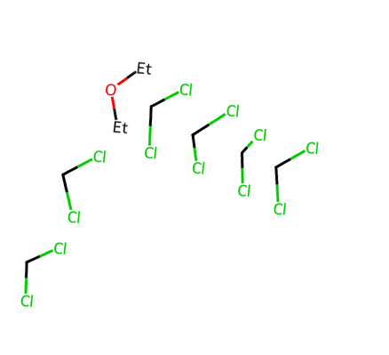 CCOCC.ClCCl.ClCCl.ClCCl.ClCCl.ClCCl.ClCCl